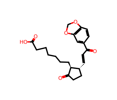 O=C(O)CCCCCC[C@@H]1C(=O)CC[C@H]1C=CC(=O)c1ccc2c(c1)OCO2